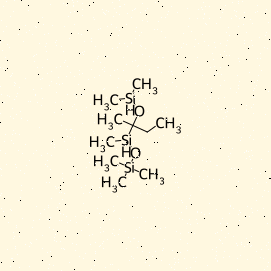 CCC(C)(O[SiH](C)C)[SiH](C)O[Si](C)(C)C